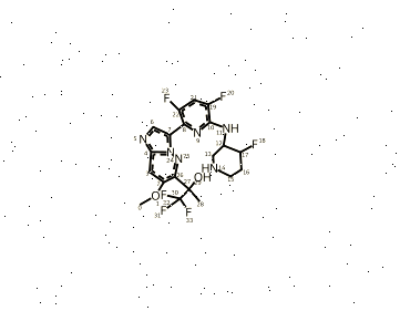 COc1cc2ncc(-c3nc(NC4CNCCC4F)c(F)cc3F)n2nc1C(C)(O)C(F)(F)F